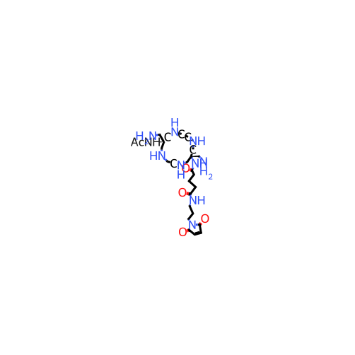 CC(=O)N[C@]1(CN)CNCCNC[C@](CN)(NC(=O)CCCC(=O)NCCCN2C(=O)C=CC2=O)CNCCNC1